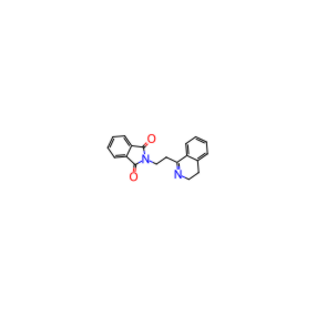 O=C1c2ccccc2C(=O)N1CCC1=NCCc2ccccc21